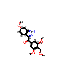 COCc1c(OC)cc(C(=O)c2n[nH]c3cc(OC)ccc23)cc1OC